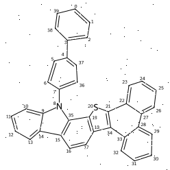 c1ccc(-c2ccc(-n3c4ccccc4c4ccc5c(sc6c7ccccc7c7ccccc7c56)c43)cc2)cc1